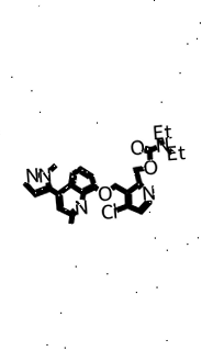 CCN(CC)C(=O)OCc1nccc(Cl)c1COc1cccc2c(-c3ccnn3C)cc(C)nc12